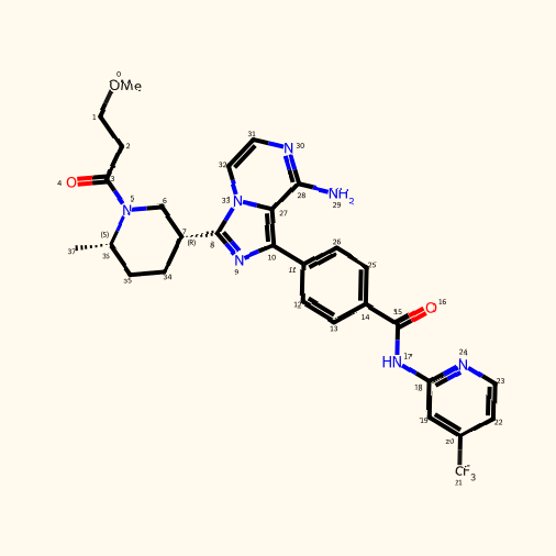 COCCC(=O)N1C[C@H](c2nc(-c3ccc(C(=O)Nc4cc(C(F)(F)F)ccn4)cc3)c3c(N)nccn23)CC[C@@H]1C